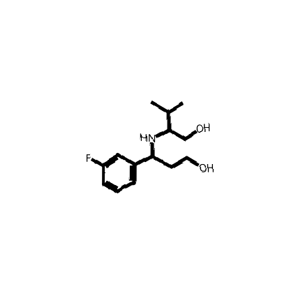 CC(C)C(CO)NC(CCO)c1cccc(F)c1